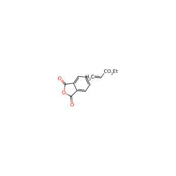 C=CC(=O)OCC.O=C1OC(=O)c2ccccc21